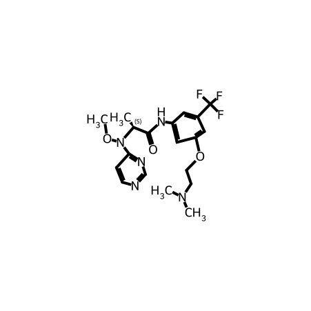 CON(c1ccncn1)[C@@H](C)C(=O)Nc1cc(OCCN(C)C)cc(C(F)(F)F)c1